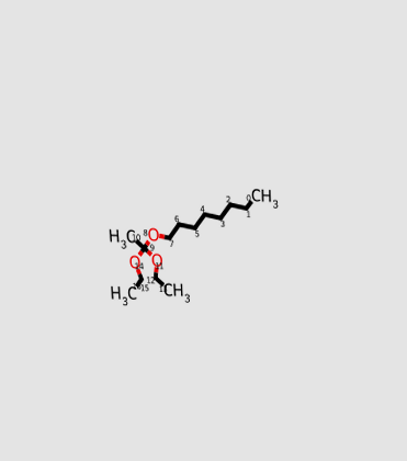 CCCCCCCCOC(C)(OCC)OCC